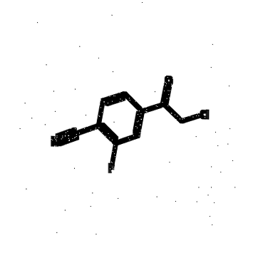 N#Cc1ccc(C(=O)CCl)cc1F